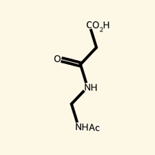 CC(=O)NCNC(=O)CC(=O)O